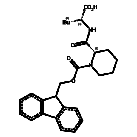 CC[C@@H](C)[C@@H](NC(=O)[C@@H]1CCCCN1C(=O)OCC1c2ccccc2-c2ccccc21)C(=O)O